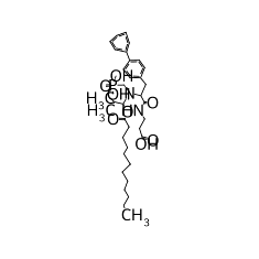 CCCCCCCCCCCC(=O)OC(C(C)C)N(CP(=O)(O)O)C(Cc1ccc(-c2ccccc2)cc1)C(=O)NCCC(=O)O